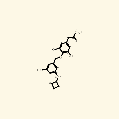 Cc1cc(COc2c(Cl)cc(CC(F)C(=O)O)cc2Cl)cc(NC2CCC2)c1